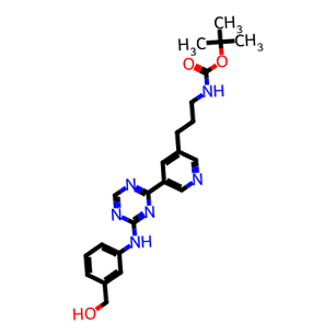 CC(C)(C)OC(=O)NCCCc1cncc(-c2ncnc(Nc3cccc(CO)c3)n2)c1